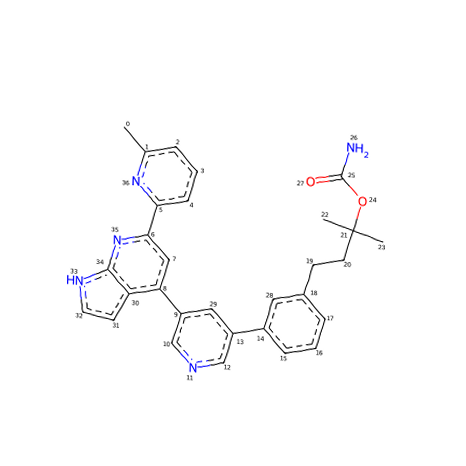 Cc1cccc(-c2cc(-c3cncc(-c4cccc(CCC(C)(C)OC(N)=O)c4)c3)c3cc[nH]c3n2)n1